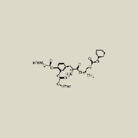 CCCCCOC(=O)Oc1ccc(C[C@H](N)C(=O)O[C@@H](C)COC(=O)OC2CCCCC2)cc1OC(=O)OCCCCC